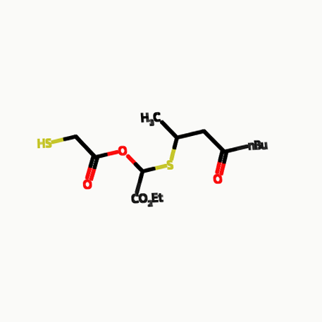 CCCCC(=O)CC(C)SC(OC(=O)CS)C(=O)OCC